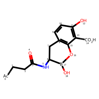 CC(=O)CCC(=O)NC1Cc2ccc(O)c(C(=O)O)c2OB1O